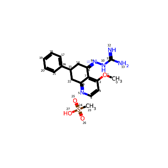 COc1ccnc2c1/C(=N\NC(=N)N)CC(c1ccccc1)C2.CS(=O)(=O)O